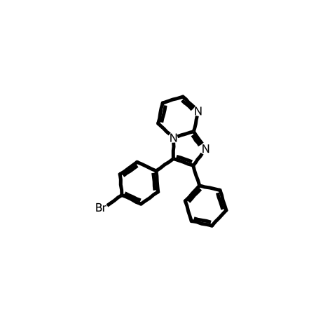 Brc1ccc(-c2c(-c3ccccc3)nc3ncccn23)cc1